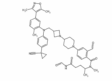 Cc1ccc(-c2c(C)noc2C)cc1N(CC1CN(C2CCN(c3ccc(C(=O)N(C)C(C)CCC(=O)NC=O)c(C=O)c3)CC2)C1)c1ccc(C2(C#N)CC2)cc1